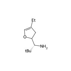 CCC1=COC([C@H](N)C(C)(C)C)C1